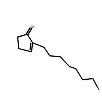 O=C1CCC=C1CCCCCCCI